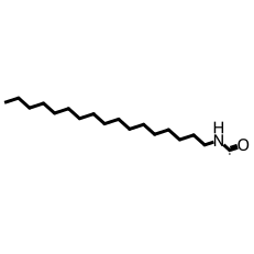 CCCCCCCCCCCCCCCCCN[C]=O